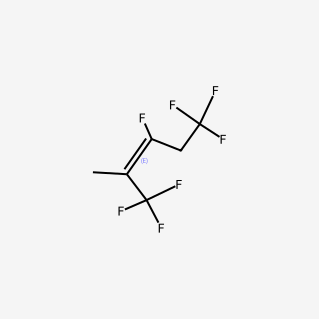 C/C(=C(\F)CC(F)(F)F)C(F)(F)F